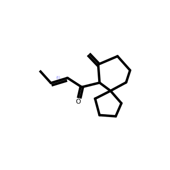 C=C1CCCC2(CCCC2)C1C(=O)/C=C/C